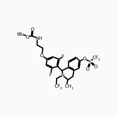 CC1Cc2cc(OS(=O)(=O)C(F)(F)F)ccc2C(c2c(F)cc(OCCNC(=O)OC(C)(C)C)cc2F)N1CC(F)(F)F